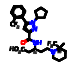 C[C@]1(C(F)(F)F)CCCCN1CC[C@@H](CC(=O)O)NC(=O)c1cc(-c2ccccc2C(F)(F)F)n(C2CCCC2)n1